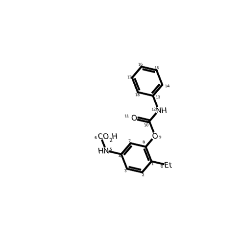 CCc1ccc(NC(=O)O)cc1OC(=O)Nc1ccccc1